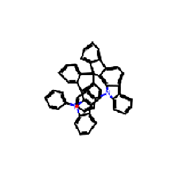 c1ccc(-n2c3ccccc3c3ccc4c(c32)-c2ccccc2C42c3ccccc3-c3ccc4c5ccccc5n(-c5ccccc5)c4c32)cc1